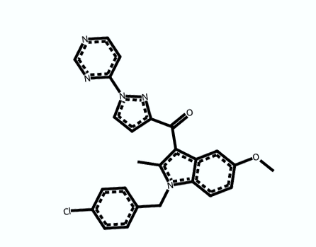 COc1ccc2c(c1)c(C(=O)c1ccn(-c3ccncn3)n1)c(C)n2Cc1ccc(Cl)cc1